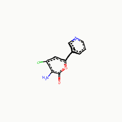 Nc1c(Cl)cc(-c2cccnc2)oc1=O